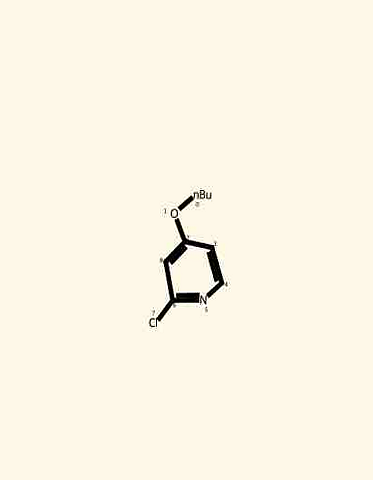 CCCCOc1ccnc(Cl)c1